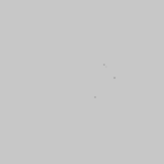 COC(=O)c1cc(OC)cc([N+](=O)[O-])c1N